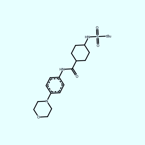 CC(C)(C)S(=O)(=O)NC1CCC(C(=O)Nc2ccc(N3CCOCC3)cc2)CC1